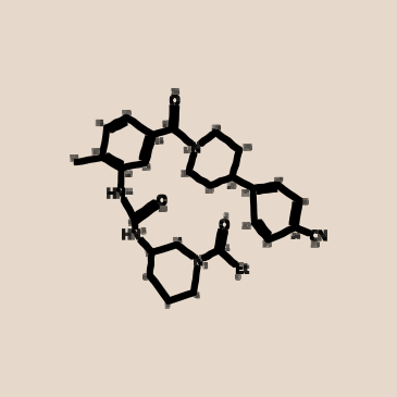 CCC(=O)N1CCCC(NC(=O)Nc2cc(C(=O)N3CCC(c4ccc(C#N)cc4)CC3)ccc2C)C1